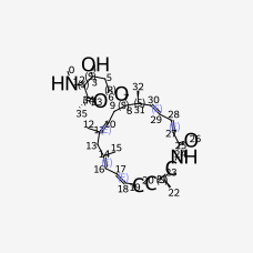 CN[C@H]1[C@@H](O)C[C@H](O[C@H]2C/C=C(\C)C/C(C)=C/C=C/CC[C@H](C)CNC(=O)/C=C/C=C/[C@@H]2C)O[C@@H]1C